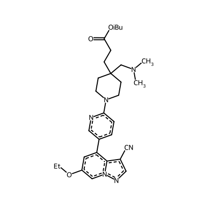 CCOc1cc(-c2ccc(N3CCC(CCC(=O)OCC(C)C)(CN(C)C)CC3)nc2)c2c(C#N)cnn2c1